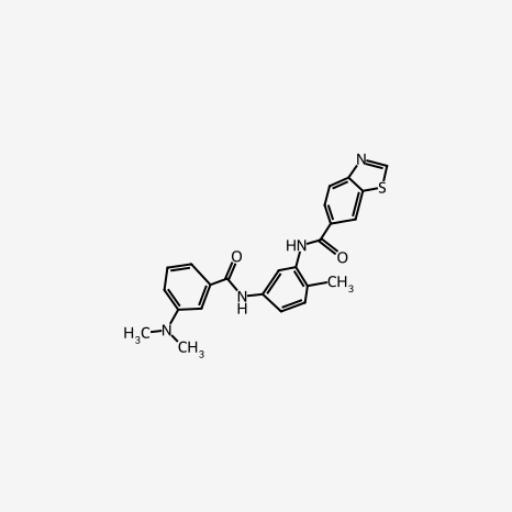 Cc1ccc(NC(=O)c2cccc(N(C)C)c2)cc1NC(=O)c1ccc2ncsc2c1